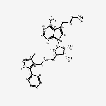 Cc1noc(-c2ccccc2)c1CSC[C@H]1O[C@@H](n2cc(CCCC#N)c3c(N)ncnc32)[C@H](O)[C@@H]1O